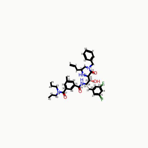 C=CCC1CN(Cc2ccccc2)C(=O)C([C@@H](O)[C@H](Cc2cc(F)cc(F)c2)NC(=O)c2cc(C)cc(C(=O)N(CCC)CCC)c2)N1